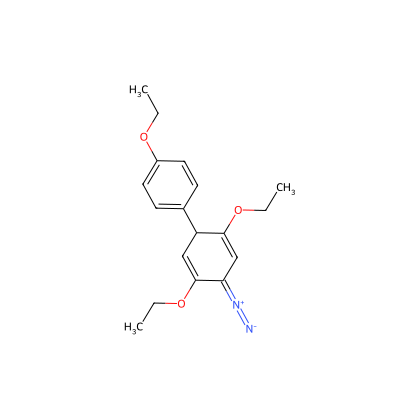 CCOC1=CC(c2ccc(OCC)cc2)C(OCC)=CC1=[N+]=[N-]